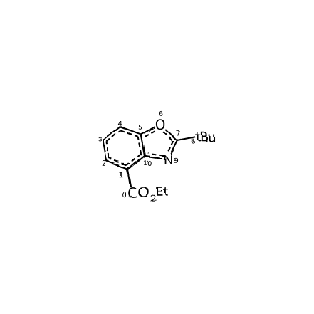 CCOC(=O)c1cccc2oc(C(C)(C)C)nc12